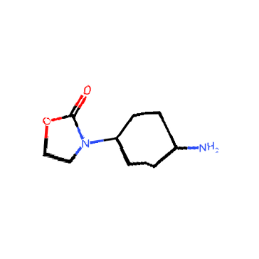 NC1CCC(N2CCOC2=O)CC1